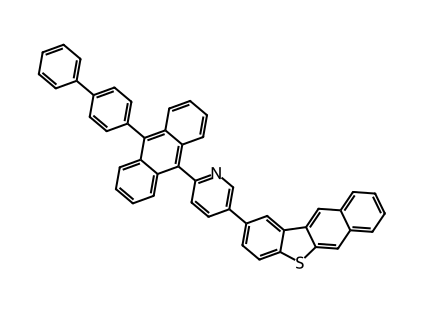 c1ccc(-c2ccc(-c3c4ccccc4c(-c4ccc(-c5ccc6sc7cc8ccccc8cc7c6c5)cn4)c4ccccc34)cc2)cc1